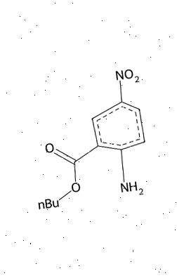 CCCCOC(=O)c1cc([N+](=O)[O-])ccc1N